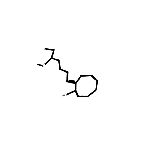 CCC(CCCC=C1CCCCCCC1O)OC